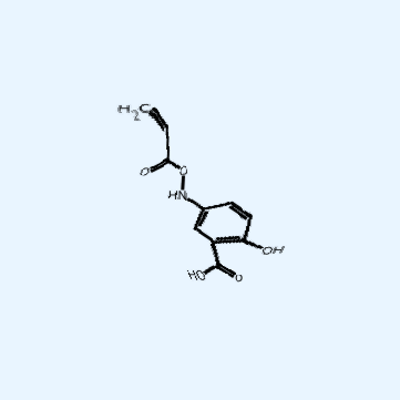 C=CC(=O)ONc1ccc(O)c(C(=O)O)c1